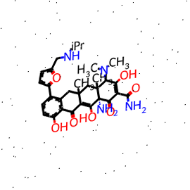 CC(C)NCc1ccc(-c2ccc(O)c3c2CC2(C)CC4(C)C(N(C)C)C(O)=C(C(N)=O)C(=O)[C@@]4(N)C(O)=C2C3=O)o1